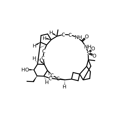 CC[C@H]1[C@@H](O)[C@@H]2[C@@H]3CC[C@]4(C)[C@H](CC[C@@H]24)[C@H](C)CCNC(=O)NS(=O)(=O)C2(C)CC4CCC2C42CC(C2)[C@@H]2CC[C@@]3(C)[C@H]1C2